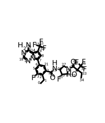 CCc1c(F)cc(-c2cc(C(F)(F)F)c3c(N)ncnn23)cc1C(=O)N[C@@H]1CN(C(=O)C(O)(CC)C(F)(F)F)C[C@@H]1F